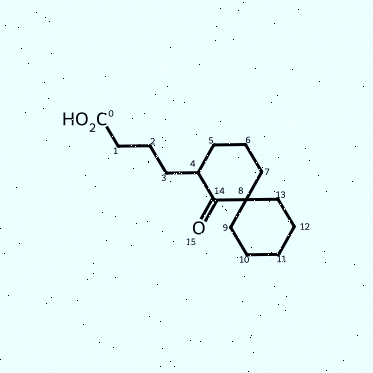 O=C(O)CCCC1CCCC2(CCCCC2)C1=O